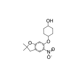 CC1(C)Cc2cc([N+](=O)[O-])c(OC3CCC(O)CC3)cc2O1